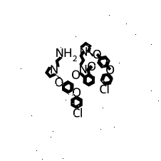 NCCCN1CCC[C@H]1COc1ccc(Oc2ccc(Cl)cc2)cc1.O=C1c2ccccc2C(=O)N1CCCN1CCC[C@H]1COc1ccc(Oc2ccc(Cl)cc2)cc1